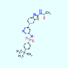 CC(=O)Nc1nc2ccc(-c3cncc(NS(=O)(=O)c4ccc(C(C)(C)C)cc4)c3)cc2s1